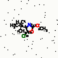 COc1nc(C(C)(C)C)c(Cl)o1